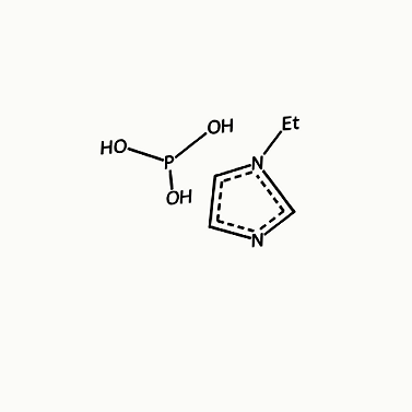 CCn1ccnc1.OP(O)O